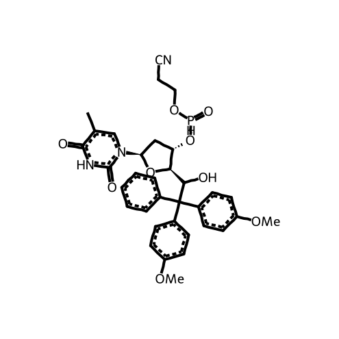 COc1ccc(C(c2ccccc2)(c2ccc(OC)cc2)C(O)[C@H]2O[C@@H](n3cc(C)c(=O)[nH]c3=O)C[C@@H]2O[PH](=O)OCCC#N)cc1